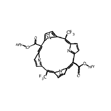 CCCOC(=O)c1c2nc(c(C(F)(F)F)c3ccc([nH]3)c(C(=O)OCCC)c3nc(c(C(F)(F)F)c4ccc1[nH]4)C=C3)C=C2